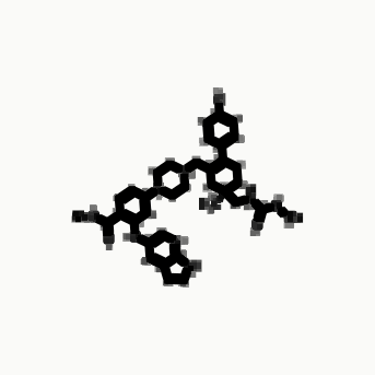 COC(=O)c1ccc(N2CCN(CC3=C(c4ccc(Cl)cc4)CC[C@@](C)(CNC(=O)OC(C)(C)C)C3)CC2)cc1Oc1cnc2[nH]ccc2c1